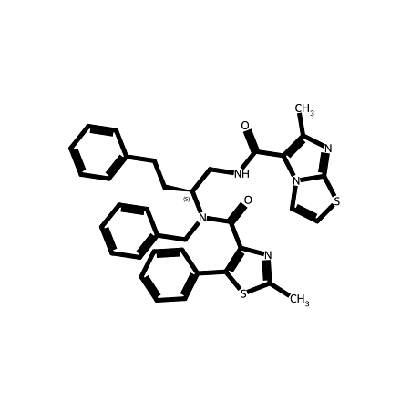 Cc1nc(C(=O)N(Cc2ccccc2)[C@@H](CCc2ccccc2)CNC(=O)c2c(C)nc3sccn23)c(-c2ccccc2)s1